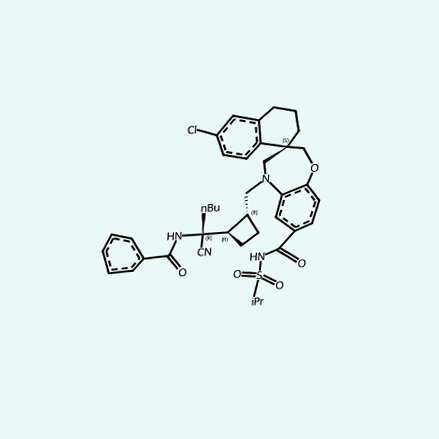 CCCC[C@@](C#N)(NC(=O)c1ccccc1)[C@@H]1CC[C@H]1CN1C[C@@]2(CCCc3cc(Cl)ccc32)COc2ccc(C(=O)NS(=O)(=O)C(C)C)cc21